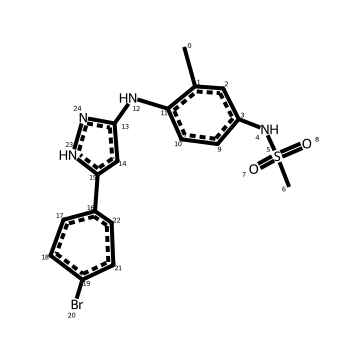 Cc1cc(NS(C)(=O)=O)ccc1Nc1cc(-c2ccc(Br)cc2)[nH]n1